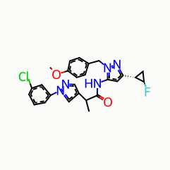 COc1ccc(Cn2nc([C@@H]3C[C@H]3F)cc2NC(=O)C(C)c2cnn(-c3cccc(Cl)c3)c2)cc1